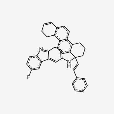 Fc1ccc2c(c1)C1=CC(NC3(C=Cc4ccccc4)CCCc4c3ccc3c5c(ccc43)C=CCC5)=CCC1=N2